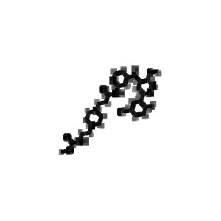 COC(=O)NCCN1CCN(CCC(=O)Nc2cc(Nc3cc(-c4cc(Cl)ccc4F)nnc3SC)ccn2)CC1